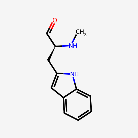 CN[C@H](C=O)Cc1cc2ccccc2[nH]1